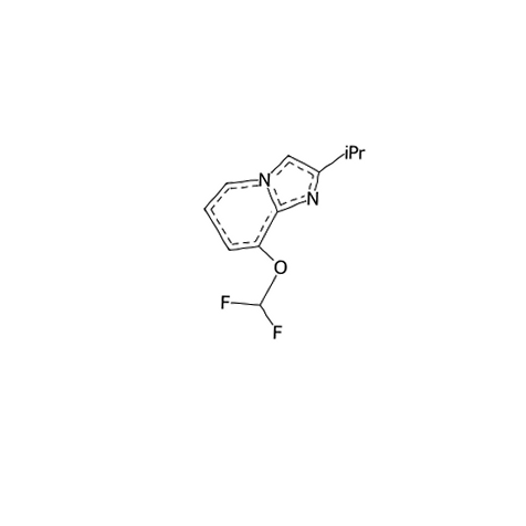 CC(C)c1cn2cccc(OC(F)F)c2n1